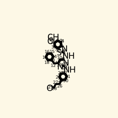 COc1ccc2nc(Nc3cc(Cc4ccccc4)nc(Nc4ccc(CCC=O)cc4)n3)sc2c1